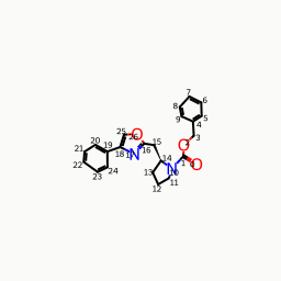 O=C(OCc1ccccc1)N1CCC[C@H]1Cc1nc(-c2ccccc2)co1